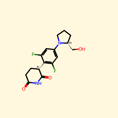 O=C1CC[C@H](c2c(F)cc(N3CCC[C@@H]3CO)cc2F)C(=O)N1